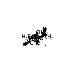 CC[C@H]1COP(=O)(C(Cc2ccc(N(C)CCc3nc(-c4ccncc4)sc3C)s2)(c2ccc(C(=O)CCc3nc(-c4ccncc4)oc3C)s2)P2(=O)N[C@@H](CC)CO2)N1